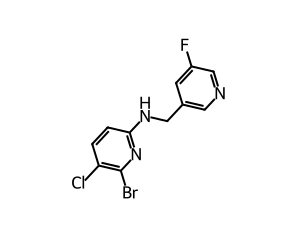 Fc1cncc(CNc2ccc(Cl)c(Br)n2)c1